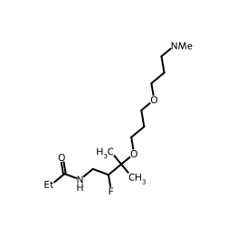 CCC(=O)NCC(F)C(C)(C)OCCCOCCCNC